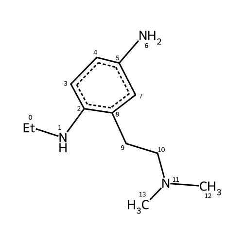 CCNc1ccc(N)cc1CCN(C)C